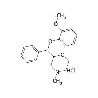 COc1ccccc1OC(c1ccccc1)C1CN(C)CCO1.Cl